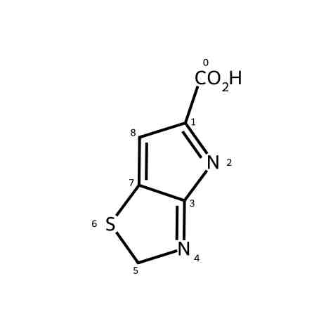 O=C(O)C1=NC2=NCSC2=C1